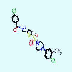 O=C(NCc1ccc(S(=O)(=O)N2CCN(c3ccc(Cl)c(C(F)(F)F)c3)CC2)s1)c1ccc(Cl)cc1